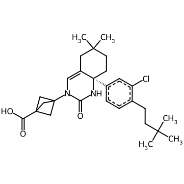 CC(C)(C)CCc1ccc([C@@]23CCC(C)(C)CC2=CN(C24CC(C(=O)O)(C2)C4)C(=O)N3)cc1Cl